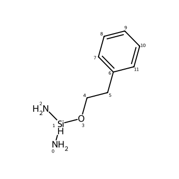 N[SiH](N)OCCc1ccccc1